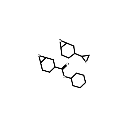 C1CC2OC2CC1C1CO1.O=C(OC1CCCCC1)C1CCC2OC2C1